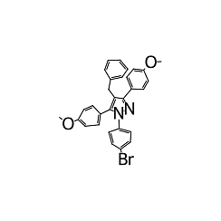 COc1ccc(-c2nn(-c3ccc(Br)cc3)c(-c3ccc(OC)cc3)c2Cc2ccccc2)cc1